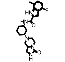 Cc1ccc(F)c2cc(C(=O)N[C@@H]3CCC[C@H](N4CCN5C(=O)NCC5C4)C3)[nH]c12